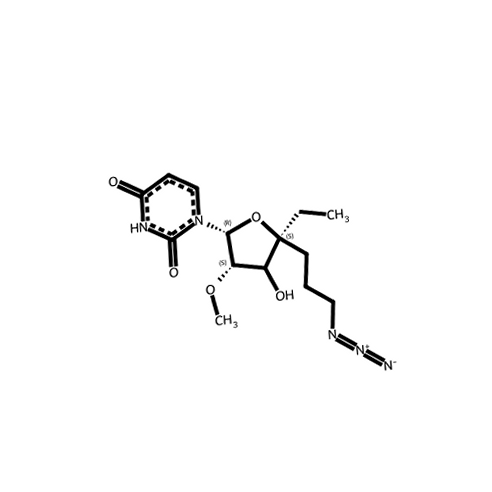 CC[C@@]1(CCCN=[N+]=[N-])O[C@@H](n2ccc(=O)[nH]c2=O)[C@@H](OC)C1O